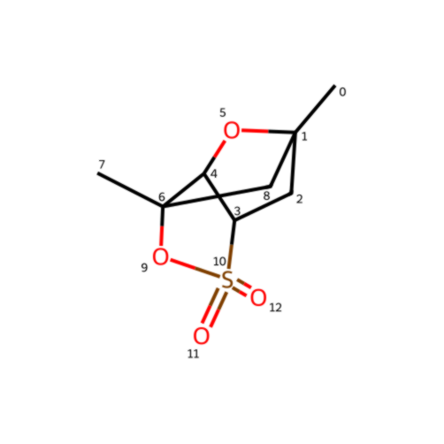 CC12CC3C(O1)C(C)(C2)OS3(=O)=O